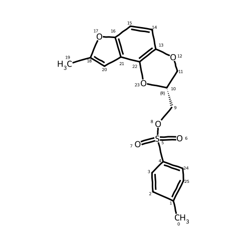 Cc1ccc(S(=O)(=O)OC[C@H]2COc3ccc4oc(C)cc4c3O2)cc1